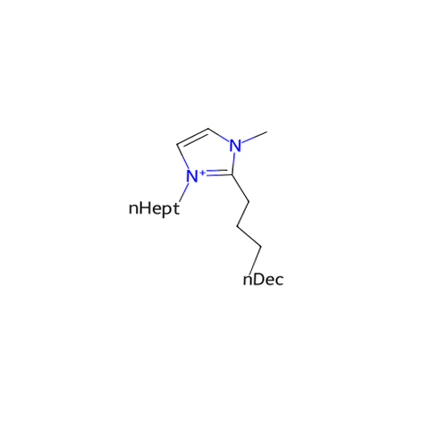 CCCCCCCCCCCCCc1n(C)cc[n+]1CCCCCCC